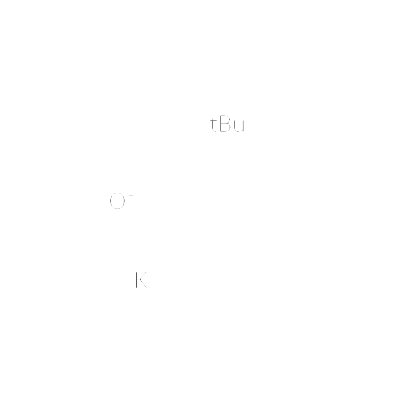 CC(C)(C)c1ccccc1[O-].[K+]